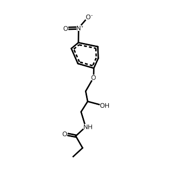 CCC(=O)NCC(O)COc1ccc([N+](=O)[O-])cc1